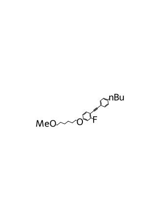 CCCCc1ccc(C#Cc2ccc(OCCCCCCOC)cc2F)cc1